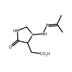 CC(C)=NNN1CNC(=O)C1CC(=O)O